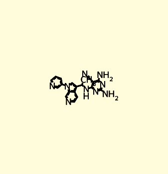 CC(Nc1nc(N)nc(N)c1C#N)c1cn(-c2cccnc2)c2cnccc12